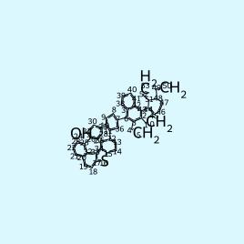 C=Cc1c(C=C)c(-c2cccc(-c3ccc4sc5ccc6ccc(O)c(-c7ccccc7)c6c5c4c3)c2)c2ccccc2c1C1=CC=CC(C=C)C1C=C